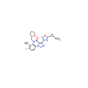 CC1CC1c1nc(-c2ncn3c2c(=O)n(CC2CCCO2)c2c(C#N)c(F)ccc23)no1